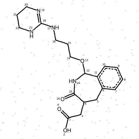 O=C(O)CC1Cc2ccccc2C(OCCCNC2=NCCCN2)NC1=O